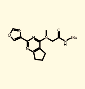 CN(CC(=O)NC(C)(C)C)c1nc(-c2cocn2)nc2c1CCC2